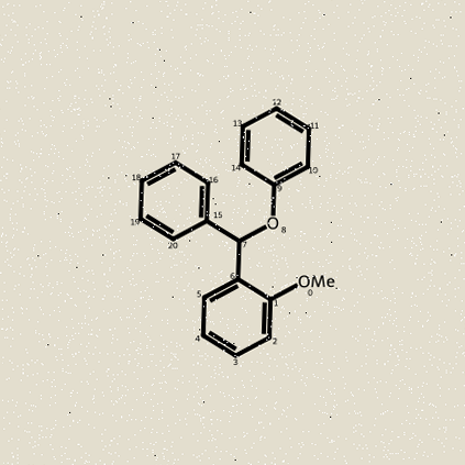 COc1ccccc1C(Oc1c[c]ccc1)c1ccccc1